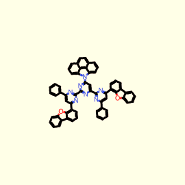 c1ccc(-c2cc(-c3cccc4c3oc3ccccc34)nc(-c3cc(-n4c5cccc6ccc7cccc4c7c65)nc(-c4nc(-c5ccccc5)cc(-c5cccc6c5oc5ccccc56)n4)n3)n2)cc1